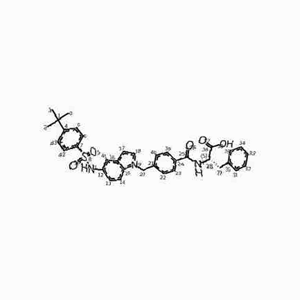 CC(C)(C)c1ccc(S(=O)(=O)Nc2ccc3c(ccn3Cc3ccc(C(=O)N[C@@H](Cc4ccccc4)C(=O)O)cc3)c2)cc1